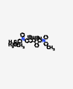 Cc1ccc(N(c2ccccc2)c2ccc3c4c(c5ccccc5c3c2)-c2cc3ccc(N(c5ccccc5)c5ccc([Si](C)(C)C)cc5)cc3cc2C4(C(C)(C)C)C(C)(C)C)cc1